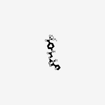 CCn1c(SCC(=O)Nc2ccc(C(=O)N(C)C)cc2)nnc1-c1ccco1